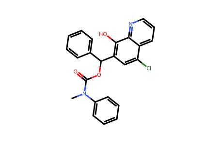 CN(C(=O)OC(c1ccccc1)c1cc(Cl)c2cccnc2c1O)c1ccccc1